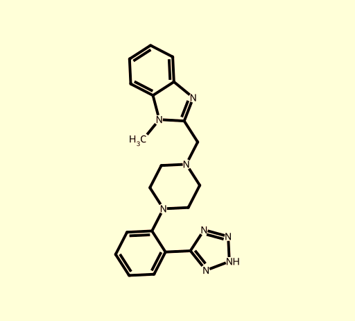 Cn1c(CN2CCN(c3ccccc3-c3nn[nH]n3)CC2)nc2ccccc21